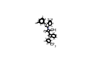 Cc1cccc([N+]2=C/C(=C3\C(=O)C(c4cn(-c5cccc(C(F)(F)F)c5)c5ccccc45)=C3O)c3ccccc32)c1